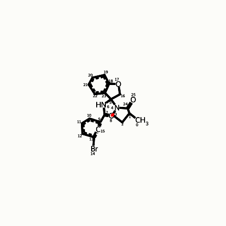 CC1CCN(C2(NC(=O)c3cccc(Br)c3)COc3ccccc32)C1=O